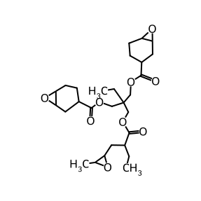 CCC(CC1OC1C)C(=O)OCC(CC)(COC(=O)C1CCC2OC2C1)COC(=O)C1CCC2OC2C1